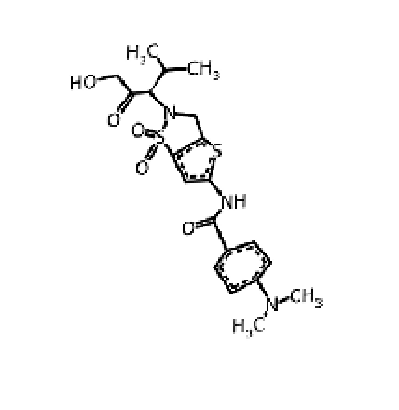 CC(C)[C@H](C(=O)CO)N1Cc2sc(NC(=O)c3ccc(N(C)C)cc3)cc2S1(=O)=O